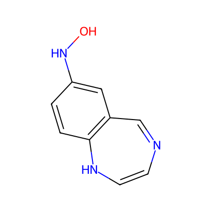 ONc1ccc2c(c1)C=NC=CN2